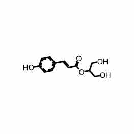 O=C(/C=C/c1ccc(O)cc1)OC(CO)CO